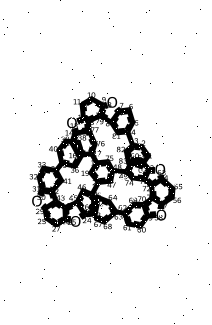 c1ccc(-c2ccc3oc4ccc5oc6ccc(-c7cc(-c8ccc9oc%10ccc%11oc%12ccc(-c%13ccccc%13)cc%12c%11c%10c9c8)cc(-c8ccc9oc%10ccc%11oc%12ccc(-c%13ccccc%13)cc%12c%11c%10c9c8)c7)cc6c5c4c3c2)cc1